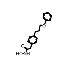 O=C(Cc1ccc(CCCOc2ccccc2)cc1)NO